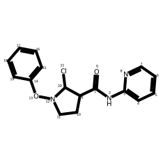 O=C(Nc1ccccn1)C1CCN(Oc2ccccc2)C1Cl